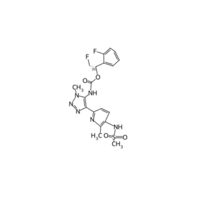 Cc1nc(-c2nnn(C)c2NC(=O)O[C@H](CF)c2ccccc2F)ccc1NS(C)(=O)=O